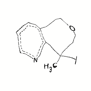 CC1(I)COCc2cccnc21